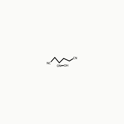 N#CCCCCC#N.O=NO